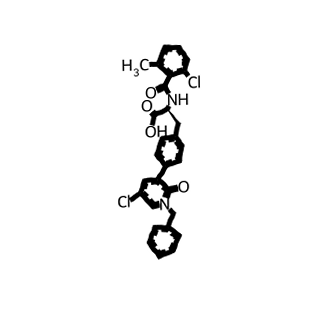 Cc1cccc(Cl)c1C(=O)N[C@@H](Cc1ccc(-c2cc(Cl)cn(Cc3ccccc3)c2=O)cc1)C(=O)O